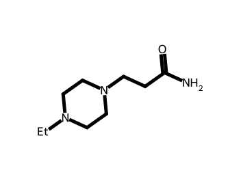 CCN1CCN(CCC(N)=O)CC1